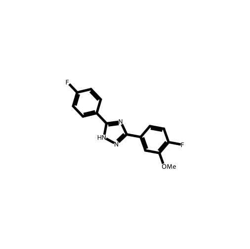 COc1cc(-c2n[nH]c(-c3ccc(F)cc3)n2)ccc1F